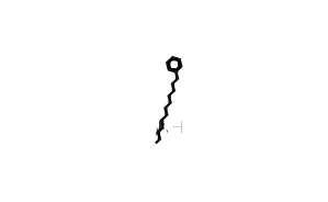 CCC(=O)NCCCCCCCCc1ccccc1